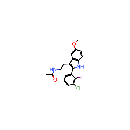 COc1ccc2[nH]c(-c3cccc(Cl)c3I)c(CCNC(C)=O)c2c1